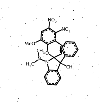 COc1cc([N+](=O)[O-])c([N+](=O)[O-])c2c1OC1(C=C2)N(N(C)C)c2ccccc2C1(C)c1ccccc1